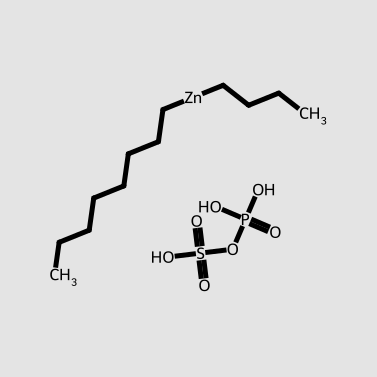 CCCCCCC[CH2][Zn][CH2]CCC.O=P(O)(O)OS(=O)(=O)O